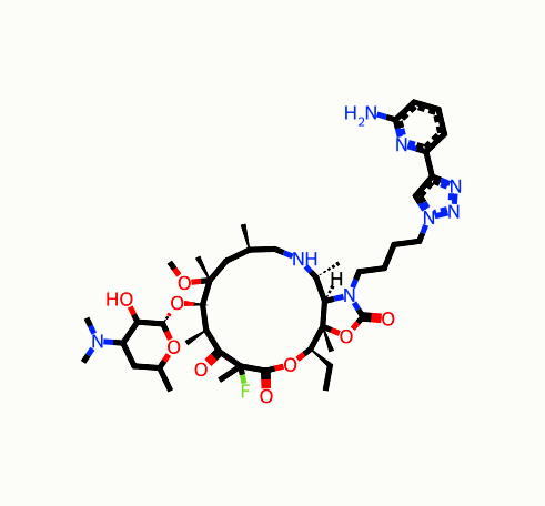 CC[C@H]1OC(=O)C(C)(F)C(=O)[C@@H](C)[C@@H](O[C@@H]2OC(C)CC(N(C)C)C2O)[C@](C)(OC)C[C@@H](C)CN[C@H](C)[C@H]2N(CCCCn3cc(-c4cccc(N)n4)nn3)C(=O)O[C@]12C